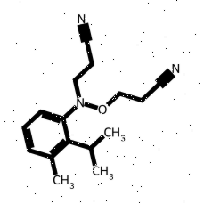 Cc1cccc(N(CCC#N)OCCC#N)c1C(C)C